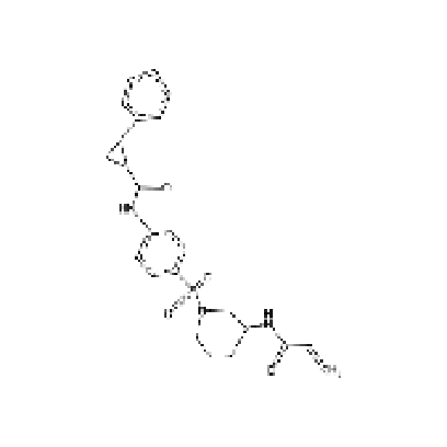 C=CC(=O)N[C@H]1CCCN(S(=O)(=O)c2ccc(NC(=O)C3CC3c3ccccc3)cc2)C1